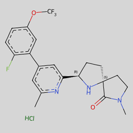 Cc1cc(-c2cc(OC(F)(F)F)ccc2F)cc([C@H]2CC[C@@]3(CCN(C)C3=O)N2)n1.Cl